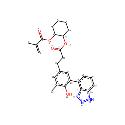 C=C(C)C(=O)OC1CCCCC1OC(=O)CCc1cc(C)c(O)c(-c2cccc3[nH]nnc23)c1